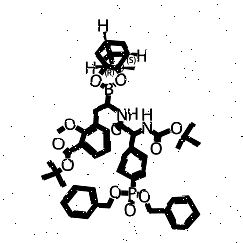 COc1c(CC(NC(=O)C(NC(=O)OC(C)(C)C)c2ccc(P(=O)(OCc3ccccc3)OCc3ccccc3)cc2)B2O[C@@H]3C[C@@H]4C[C@@H](C4(C)C)[C@]3(C)O2)cccc1C(=O)OC(C)(C)C